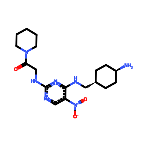 N[C@H]1CC[C@H](CNc2nc(NCC(=O)N3CCCCC3)ncc2[N+](=O)[O-])CC1